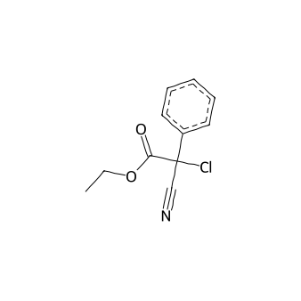 CCOC(=O)C(Cl)(C#N)c1ccccc1